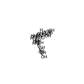 CC(S)CC(=O)O.CC(S)CC(=O)O.CC(S)CC(=O)O.O=c1[nH]c(=O)[nH]c(=O)[nH]1.O=c1[nH]c(=O)[nH]c(=O)[nH]1.O=c1[nH]c(=O)[nH]c(=O)[nH]1.OCCO